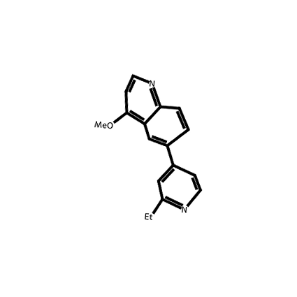 CCc1cc(-c2ccc3nccc(OC)c3c2)ccn1